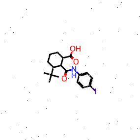 CC(C)(C)C1CCCC(C(=O)O)C1C(=O)Nc1ccc(I)cc1